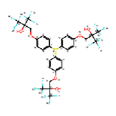 OC(COc1ccc([SH](c2ccc(OCC(O)(C(F)(F)F)C(F)(F)F)cc2)c2ccc(OCC(O)(C(F)(F)F)C(F)(F)F)cc2)cc1)(C(F)(F)F)C(F)(F)F